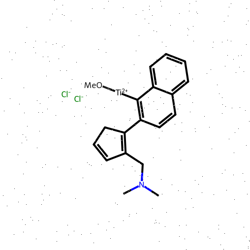 C[O][Ti+2][c]1c(C2=C(CN(C)C)C=CC2)ccc2ccccc12.[Cl-].[Cl-]